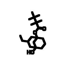 CCC1CC2(O)CCCC(OC(=O)C(C)(C)C(C)(C)C)(C1)C2